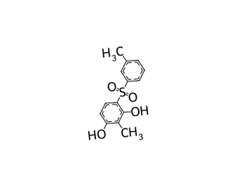 Cc1cccc(S(=O)(=O)c2ccc(O)c(C)c2O)c1